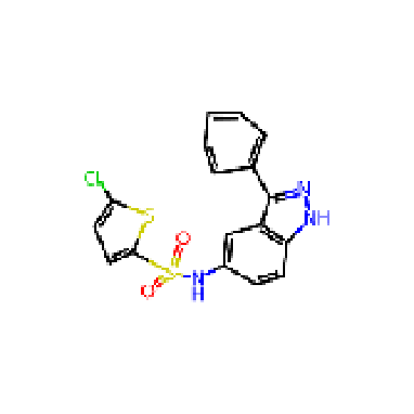 O=S(=O)(Nc1ccc2[nH]nc(-c3ccccc3)c2c1)c1ccc(Cl)s1